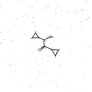 O=C(C1CC1)C(Br)C1CC1